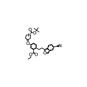 CCOC(=O)c1cc(O[C@H]2CCN(C(=O)OC(C)(C)C)C2)ccc1CCc1occ2cc(C#N)ccc12